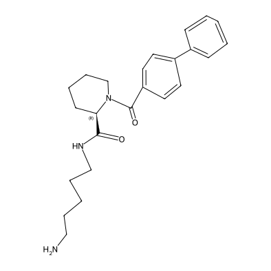 NCCCCCNC(=O)[C@H]1CCCCN1C(=O)c1ccc(-c2ccccc2)cc1